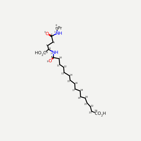 CCCNC(=O)CCC(NC(=O)CCCCCCCCCCCCCCC(=O)O)C(=O)O